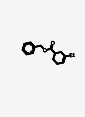 CCC1=CCCC(C(=O)OCc2ccccc2)C1